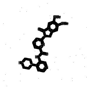 COc1cc2c(cc1OC)C(=O)N(c1cccc(C(=O)Nc3cnccc3N3CCNCC3)n1)C2